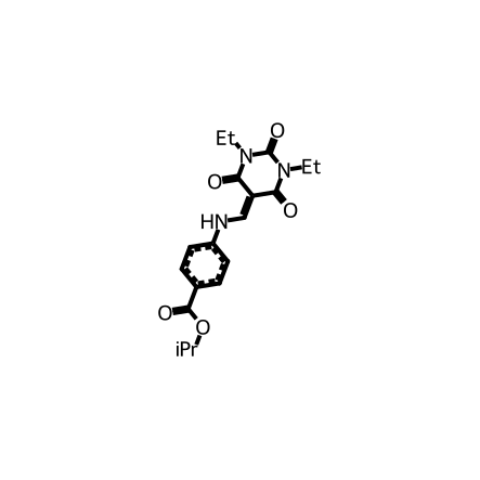 CCN1C(=O)C(=CNc2ccc(C(=O)OC(C)C)cc2)C(=O)N(CC)C1=O